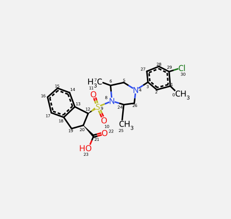 Cc1cc(N2CC(C)N(S(=O)(=O)[C@@H]3c4ccccc4C[C@@H]3C(=O)O)C(C)C2)ccc1Cl